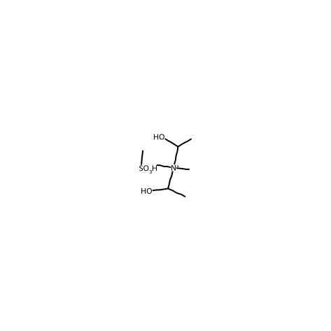 CC(O)[N+](C)(C)C(C)O.CS(=O)(=O)O